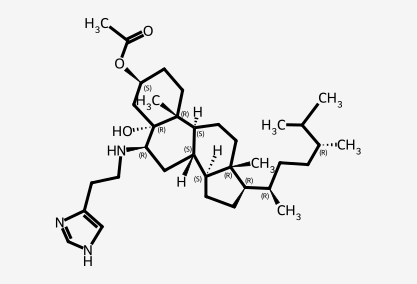 CC(=O)O[C@H]1CC[C@]2(C)[C@H]3CC[C@]4(C)[C@@H]([C@H](C)CC[C@@H](C)C(C)C)CC[C@H]4[C@@H]3C[C@@H](NCCc3c[nH]cn3)[C@@]2(O)C1